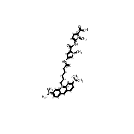 CN(C)c1ccc2cc3ccc(N(C)C)cc3[n+](CCCCCC(=O)Nc3cc(C(=O)Nc4ccc(C(=O)O)n4C)n(C)c3)c2c1